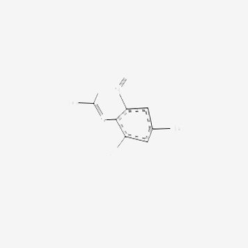 C=Nc1cc(C(C)(C)C)cc(C)c1/N=C(\C)C(C)(C)C